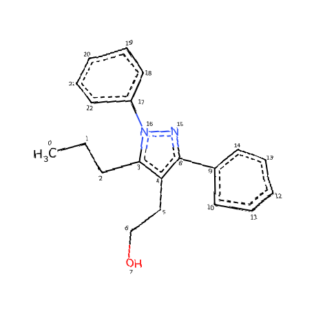 CCCc1c(CCO)c(-c2ccccc2)nn1-c1ccccc1